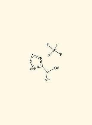 CCCC(O)c1ncc[nH]1.F[B-](F)(F)F